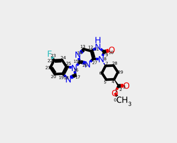 COC(=O)[C@H]1CC[C@H](n2c(=O)[nH]c3cnc(-n4cnc5ccc(F)cc54)nc32)CC1